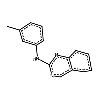 Cc1cccc(Nc2ncc3ccccc3n2)c1